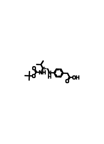 CC(C)[C@H](CNc1ccc(CC(=O)O)cc1)NC(=O)OC(C)(C)C